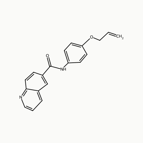 C=CCOc1ccc(NC(=O)c2ccc3ncccc3c2)cc1